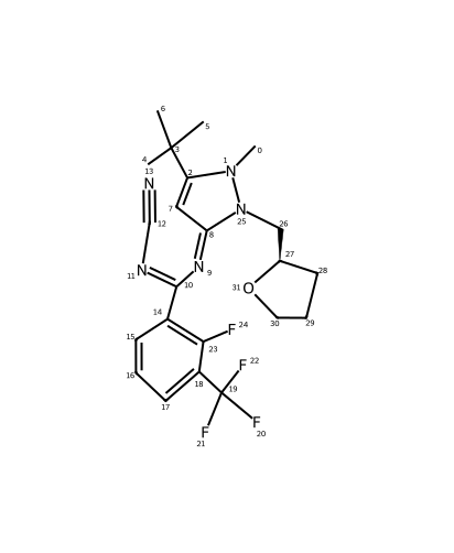 Cn1c(C(C)(C)C)c/c(=N\C(=NC#N)c2cccc(C(F)(F)F)c2F)n1C[C@H]1CCCO1